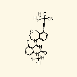 [2H]C([2H])([2H])n1c(=O)nc(N2CCOCc3c(C#CC(C)(C)C#N)cccc32)c2c(F)cccc21